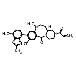 C=CC(=O)N1CCN2C(=O)c3cc(Cl)c(-c4ccc(C)c5sc(N)nc45)cc3N(C)CC[C@H]2C1